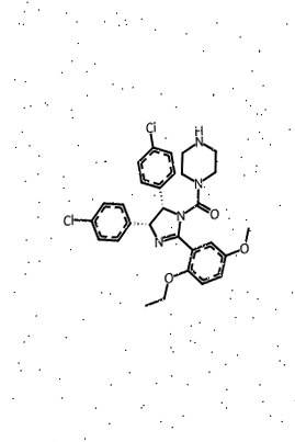 CCOc1ccc(OC)cc1C1=N[C@H](c2ccc(Cl)cc2)[C@H](c2ccc(Cl)cc2)N1C(=O)N1CCNCC1